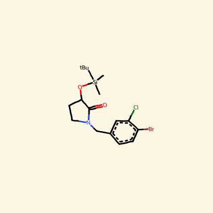 CC(C)(C)[Si](C)(C)OC1CCN(Cc2ccc(Br)c(Cl)c2)C1=O